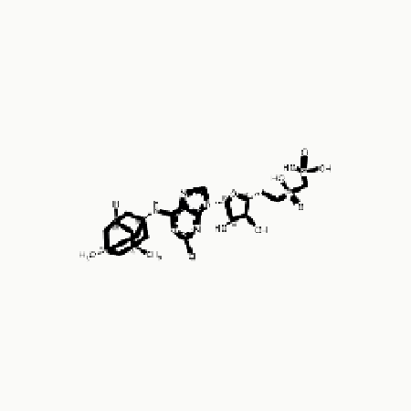 C[C@]12C[C@@H]3C[C@](C)(C1)C[C@@](Nc1nc(Cl)nc4c1ncn4[C@@H]1O[C@H](CCP(=O)(O)CP(=O)(O)O)C(O)[C@@H]1O)(C3)C2